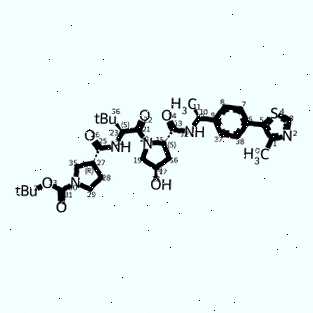 Cc1ncsc1-c1ccc([C@H](C)NC(=O)[C@@H]2C[C@@H](O)CN2C(=O)[C@@H](NC(=O)[C@@H]2CCN(C(=O)OC(C)(C)C)C2)C(C)(C)C)cc1